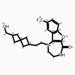 O=C1NCCN(CCC2CC3(CC(CO)C3)C2)c2c1oc1ccc(C(F)(F)F)cc21